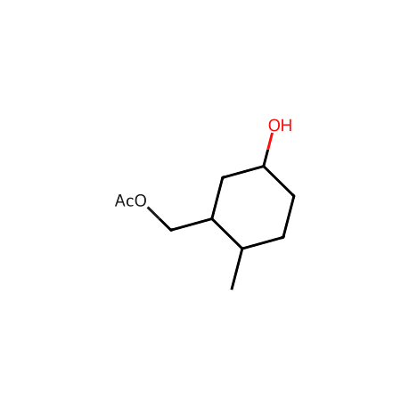 CC(=O)OCC1CC(O)CCC1C